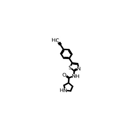 C#Cc1ccc(-c2cnc(NC(=O)C3CCNC3)s2)cc1